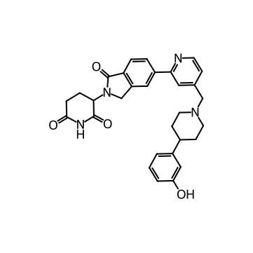 O=C1CCC(N2Cc3cc(-c4cc(CN5CCC(c6cccc(O)c6)CC5)ccn4)ccc3C2=O)C(=O)N1